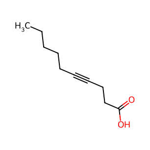 CCCCCC#CCCC(=O)O